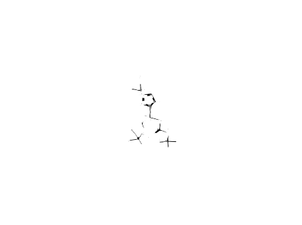 CC(C)(C)OC[C@H](NC(=O)OC(C)(C)C)c1ccn(C(F)F)n1